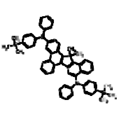 CC1(C)c2c(cc(N(c3ccccc3)c3ccc([Si](C)(C)C)cc3)c3ccccc23)-c2c1c1ccc(N(c3ccccc3)c3ccc([Si](C)(C)C)cc3)cc1c1ccccc21